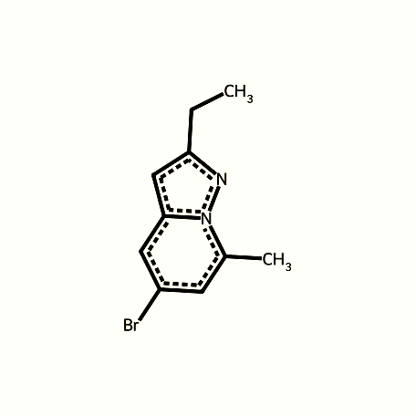 CCc1cc2cc(Br)cc(C)n2n1